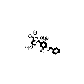 COc1cc(C(=O)N2CC(O)C[C@H]2C(=O)O)c([N+](=O)[O-])cc1OCc1ccccc1